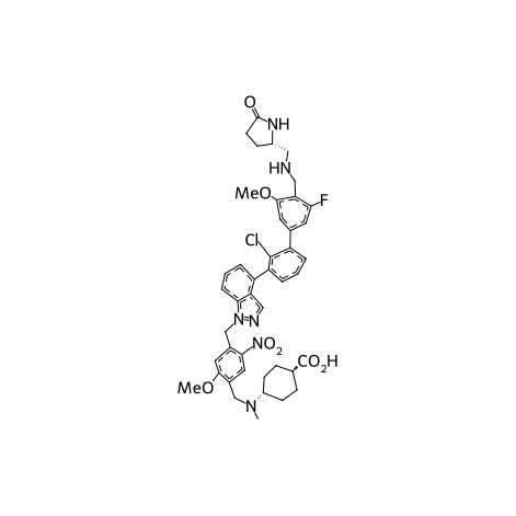 COc1cc(Cn2ncc3c(-c4cccc(-c5cc(F)c(CNC[C@@H]6CCC(=O)N6)c(OC)c5)c4Cl)cccc32)c([N+](=O)[O-])cc1CN(C)[C@H]1CC[C@H](C(=O)O)CC1